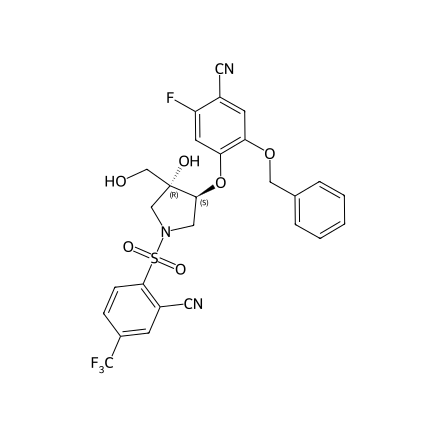 N#Cc1cc(OCc2ccccc2)c(O[C@H]2CN(S(=O)(=O)c3ccc(C(F)(F)F)cc3C#N)C[C@@]2(O)CO)cc1F